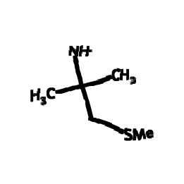 CSCC(C)(C)[NH]